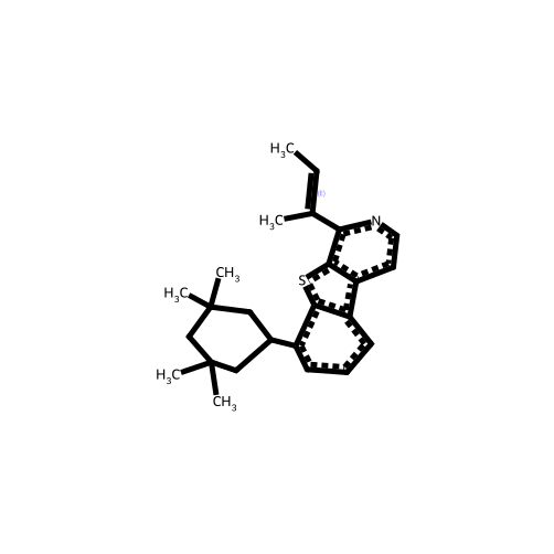 C/C=C(\C)c1nccc2c1sc1c(C3CC(C)(C)CC(C)(C)C3)cccc12